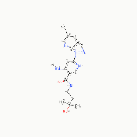 CC[C@@H](C)Nc1cc(-n2ncc3cc(C#N)cnc32)ncc1C(=O)NCCC(C)(C)O